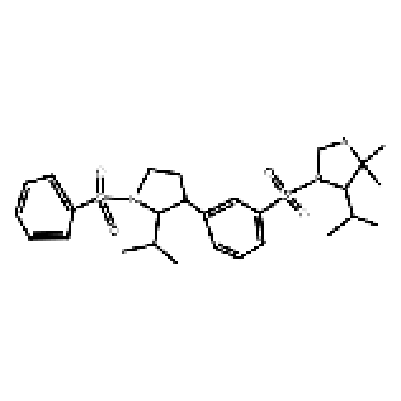 CC(C)C1C(c2cccc(S(=O)(=O)N3CSC(C)(C)C3C(C)C)c2)CCN1S(=O)(=O)c1ccccc1